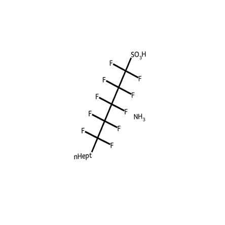 CCCCCCCC(F)(F)C(F)(F)C(F)(F)C(F)(F)C(F)(F)S(=O)(=O)O.N